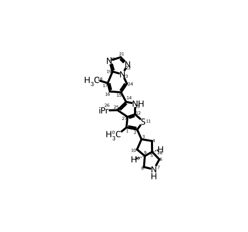 Cc1c(C2C[C@H]3CNC[C@H]3C2)sc2[nH]c(-c3cc(C)c4ncnn4c3)c(C(C)C)c12